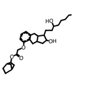 CCCCCC(O)CCC1C(O)CC2Cc3c(cccc3OCC(=O)OC3CC4CCC3C4)CC21